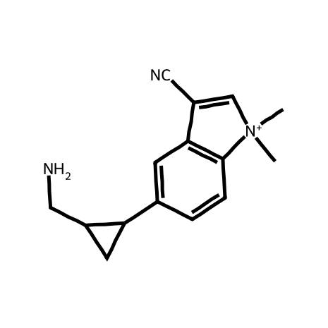 C[N+]1(C)C=C(C#N)c2cc(C3CC3CN)ccc21